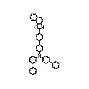 C1=CC(c2ccccc2)CC=C1N(c1ccc(-c2ccc(-c3nc4ccc5ccccc5c4o3)cc2)cc1)c1cccc(-c2ccccc2)c1